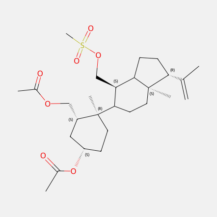 C=C(C)[C@H]1CCC2[C@H](COS(C)(=O)=O)C([C@@]3(C)CC[C@H](OC(C)=O)C[C@@H]3COC(C)=O)CC[C@@]21C